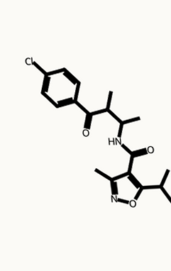 Cc1noc(C(C)C)c1C(=O)NC(C)C(C)C(=O)c1ccc(Cl)cc1